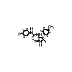 COc1ccc([C@@H]2C(C)NC(=O)[C@H]2NC(=O)Nc2ccc(F)cc2)cc1